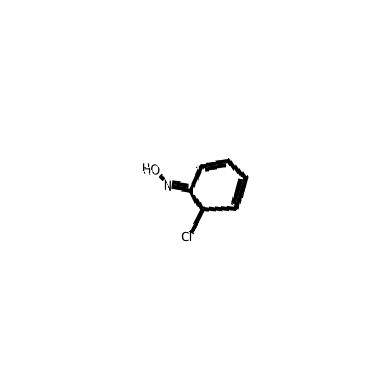 ON=C1[C]=CC=CC1Cl